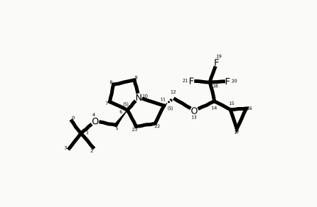 CC(C)(C)OC[C@@]12CCCN1[C@H](COC(C1CC1)C(F)(F)F)CC2